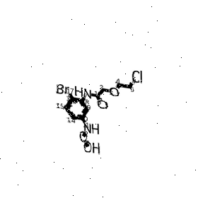 O=C(COCCCl)Nc1cc(NOO)ccc1Br